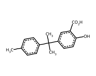 Cc1ccc(C(C)(C)c2ccc(O)c(C(=O)O)c2)cc1